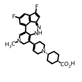 CN1C=C2C(=C(C3=CCN([C@H]4CC[C@H](C(=O)O)CC4)CC3)C1)NN=C1C=C(F)c3cc(F)cc2c31